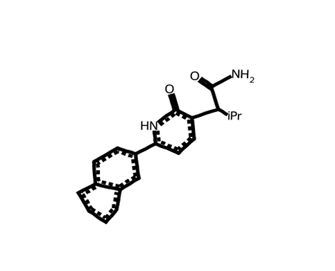 CC(C)C(C(N)=O)c1ccc(-c2ccc3ccccc3c2)[nH]c1=O